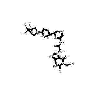 C[C@@H](C(=O)Nc1cncc(-c2ccc(N3CC4[C@H](C3)C4(F)F)nc2)n1)n1cnc2c1c(=O)n(CC#N)c(=O)n2C